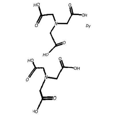 O=C(O)CN(CC(=O)O)CC(=O)O.O=C(O)CN(CC(=O)O)CC(=O)O.[Dy]